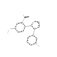 COc1ccc(-c2sccc2-c2cccc(F)c2)c(C(=O)O)c1